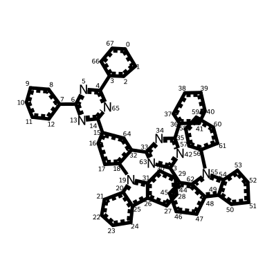 c1ccc(-c2nc(-c3ccccc3)nc(-c3ccc(-n4c5ccccc5c5ccccc54)c(-c4nc(-c5ccccc5)nc(-c5cccc6c7ccccc7n(-c7ccccc7)c56)n4)c3)n2)cc1